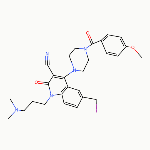 COc1ccc(C(=O)N2CCN(c3c(C#N)c(=O)n(CCCN(C)C)c4ccc(CI)cc34)CC2)cc1